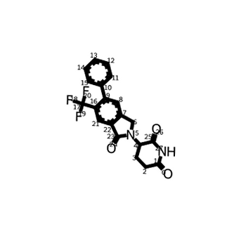 O=C1CCC(N2Cc3cc(-c4ccccc4)c(C(F)(F)F)cc3C2=O)C(=O)N1